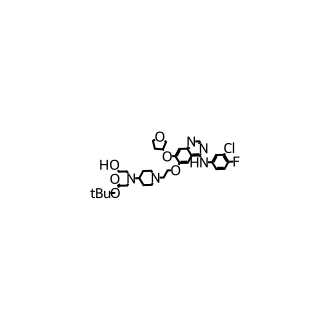 CC(C)(C)OC(=O)CN(CCO)C1CCN(CCOc2cc3c(Nc4ccc(F)c(Cl)c4)ncnc3cc2O[C@@H]2CCOC2)CC1